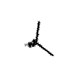 CCCCCCCCCCCCCCCCCCc1cc(C(C)(C)C)c(O)c(C(C)(C)C)c1CCCCCCCCCCCCCCCCCC.COP(O)(=S)S